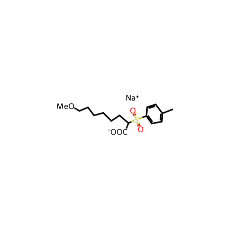 COCCCCCCC(C(=O)[O-])S(=O)(=O)c1ccc(C)cc1.[Na+]